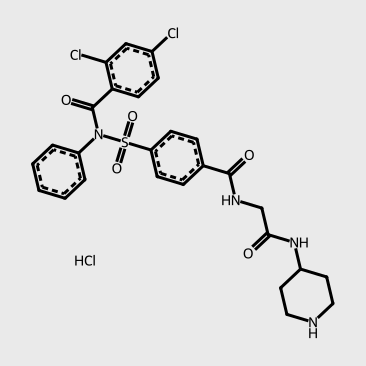 Cl.O=C(CNC(=O)c1ccc(S(=O)(=O)N(C(=O)c2ccc(Cl)cc2Cl)c2ccccc2)cc1)NC1CCNCC1